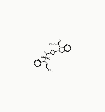 CC(C1CC(N2Cc3ccccc3C2C(=O)C=O)C1)S(=O)(=O)C(C=CC(F)(F)F)c1ccccc1